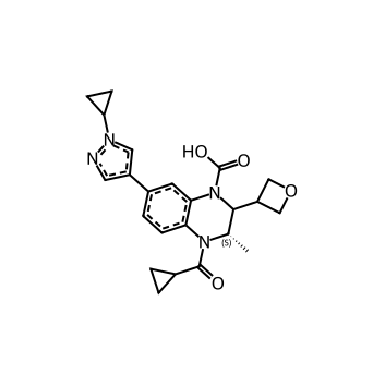 C[C@H]1C(C2COC2)N(C(=O)O)c2cc(-c3cnn(C4CC4)c3)ccc2N1C(=O)C1CC1